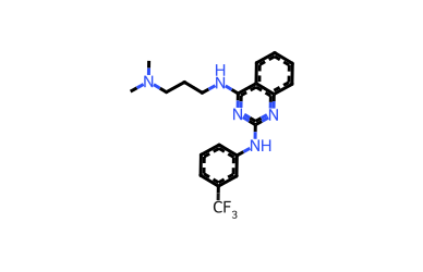 CN(C)CCCNc1nc(Nc2cccc(C(F)(F)F)c2)nc2ccccc12